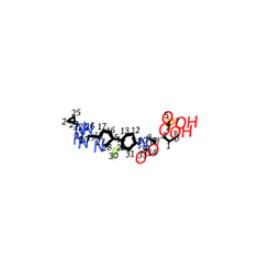 CCC(OP(=O)(O)O)[C@H]1CN(c2ccc(-c3ccc(-c4nnn(C5CC5)n4)nc3)c(F)c2)C(=O)O1